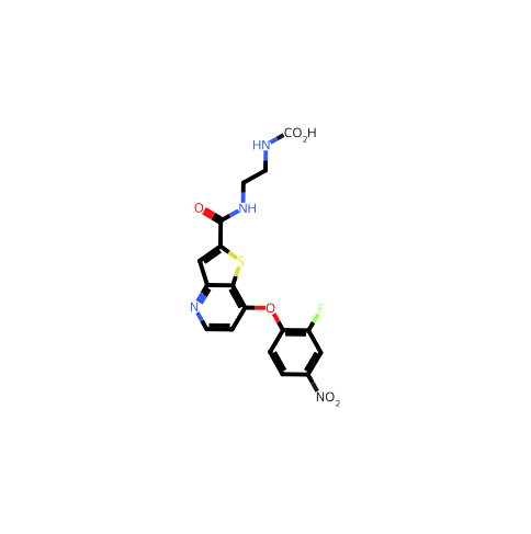 O=C(O)NCCNC(=O)c1cc2nccc(Oc3ccc([N+](=O)[O-])cc3F)c2s1